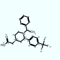 CC(c1ccccc1)N1CC[C@H](CC(=O)O)C[C@@H]1c1ccc(C(F)(F)F)cc1